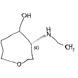 CN[C@@H]1COCCC1O